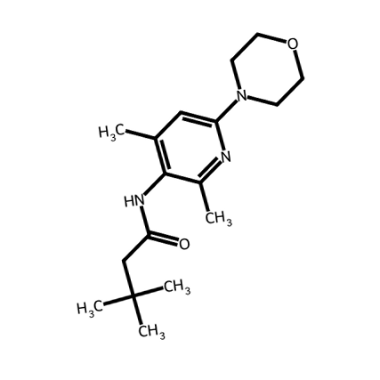 Cc1cc(N2CCOCC2)nc(C)c1NC(=O)CC(C)(C)C